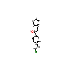 O=C(Cc1ccccc1)c1ccc(CCBr)cc1